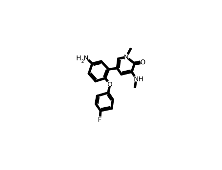 CNc1cc(-c2cc(N)ccc2Oc2ccc(F)cc2)cn(C)c1=O